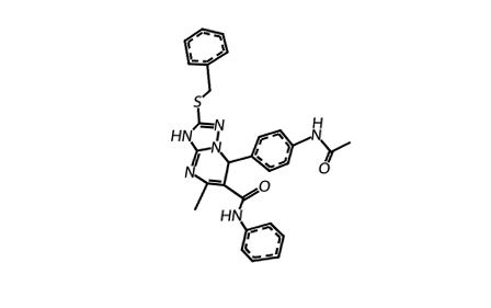 CC(=O)Nc1ccc(C2C(C(=O)Nc3ccccc3)=C(C)N=C3NC(SCc4ccccc4)=NN32)cc1